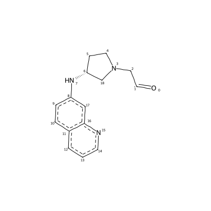 O=[C]CN1CC[C@@H](Nc2ccc3cccnc3c2)C1